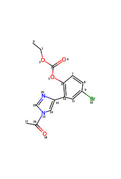 CCOC(=O)Oc1ccc(Br)cc1-c1cn(C(C)=O)cn1